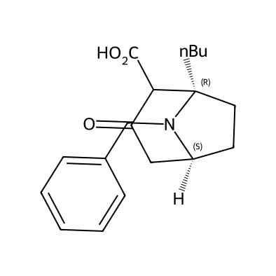 CCCC[C@@]12CC[C@@H](CC(=O)C1C(=O)O)N2Cc1ccccc1